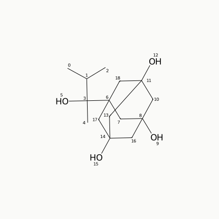 CC(C)C(C)(O)C12CC3(O)CC(O)(CC(O)(C3)C1)C2